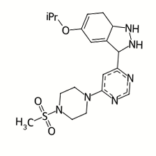 CC(C)OC1=CCC2NNC(c3cc(N4CCN(S(C)(=O)=O)CC4)ncn3)C2=C1